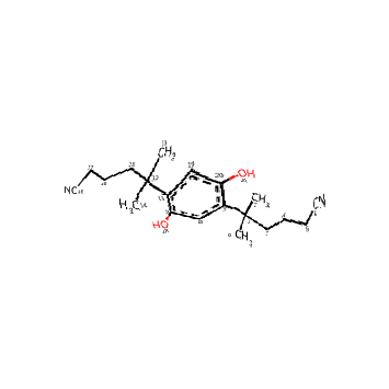 CC(C)(CCCC#N)c1cc(O)c(C(C)(C)CCCC#N)cc1O